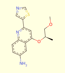 COC[C@@H](C)Oc1cc(-c2cncs2)nc2ccc(N)cc12